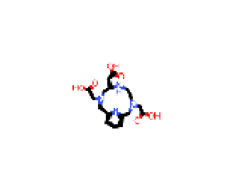 O=C(O)CC1CN(CC(=O)O)Cc2cccc(n2)CN(CC(=O)O)CCN1